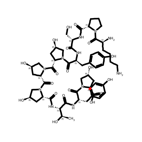 C[C@@H](O)[C@H](NC(=O)[C@@H]1C[C@@H](O)CN1C(=O)[C@@H]1C[C@@H](O)CN1C(=O)[C@@H]1C[C@@H](O)CN1C(=O)[C@H](Cc1ccc(O)cc1)NC(=O)[C@H](CO)NC(=O)[C@@H]1CCCN1C(=O)[C@@H](N)CCCCN)C(=O)N[C@@H](Cc1ccc(O)cc1)C(=O)N1C[C@H](O)C[C@H]1C(=O)O